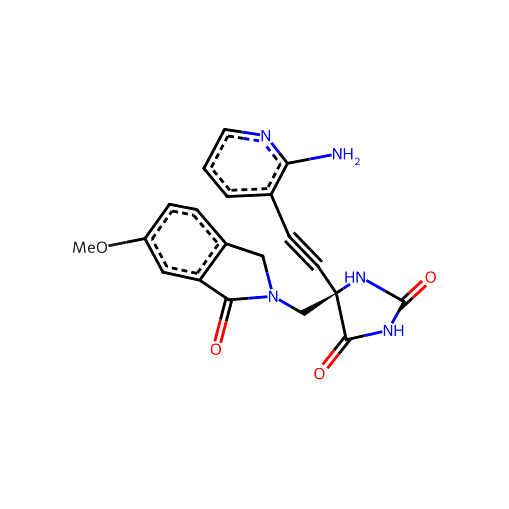 COc1ccc2c(c1)C(=O)N(C[C@@]1(C#Cc3cccnc3N)NC(=O)NC1=O)C2